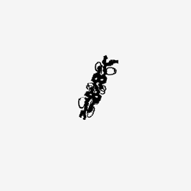 CCCC(CCC)N1C(=O)c2ccc3c4c(ccc(c24)C1=O)C(=O)N(N1C(=O)c2ccc4c5c(ccc(c25)C1=O)C(=O)N(C(CC)CC)C4=O)C3=O